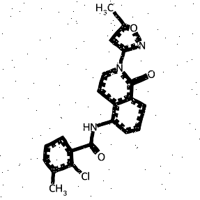 Cc1cc(-n2ccc3c(NC(=O)c4cccc(C)c4Cl)cccc3c2=O)no1